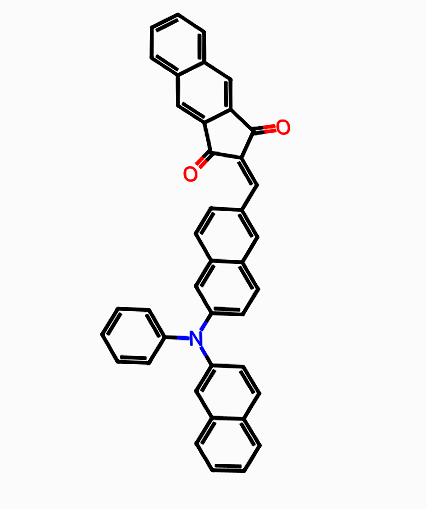 O=C1C(=Cc2ccc3cc(N(c4ccccc4)c4ccc5ccccc5c4)ccc3c2)C(=O)c2cc3ccccc3cc21